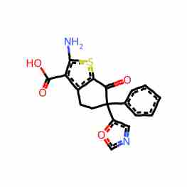 Nc1sc2c(c1C(=O)O)CCC(c1ccccc1)(c1cnco1)C2=O